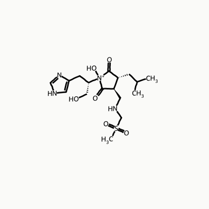 CC(C)C[C@H]1C(=O)[N+](O)([C@H](CO)Cc2c[nH]cn2)C(=O)[C@@H]1CNCS(C)(=O)=O